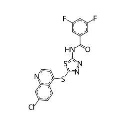 O=C(Nc1nnc(Sc2ccnc3cc(Cl)ccc23)s1)c1cc(F)cc(F)c1